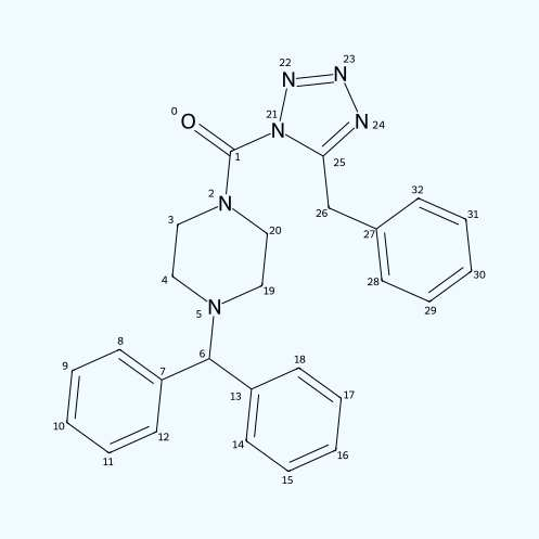 O=C(N1CCN(C(c2ccccc2)c2ccccc2)CC1)n1nnnc1Cc1ccccc1